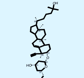 C#C[C@@]1(C)C2=CCC3C4CCC([C@H](C)CCCC(C)(C)O)[C@@]4(C)CC[C@@]3(C)C2CC[C@@H]1O[C@H]1C[C@@H](O)C[C@@H](CO)O1